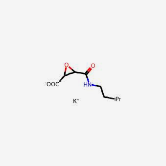 CC(C)CCNC(=O)C1OC1C(=O)[O-].[K+]